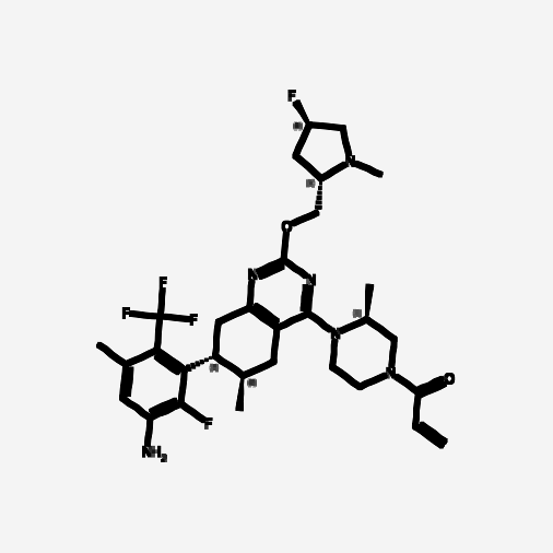 C=CC(=O)N1CCN(c2nc(OC[C@@H]3C[C@@H](F)CN3C)nc3c2C[C@@H](C)[C@H](c2c(F)c(N)cc(C)c2C(F)(F)F)C3)[C@@H](C)C1